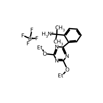 CCOc1nc(OCC)nc(-c2ccccc2C(C)(C)[NH3+])n1.F[B-](F)(F)F